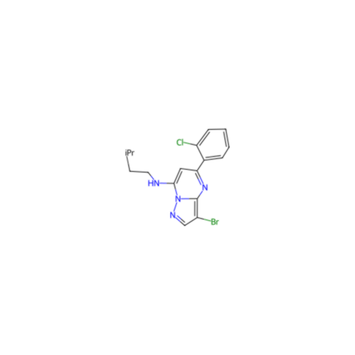 CC(C)CCNc1cc(-c2ccccc2Cl)nc2c(Br)cnn12